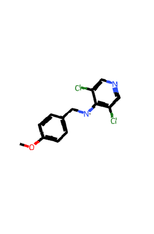 COc1ccc(C[N]c2c(Cl)cncc2Cl)cc1